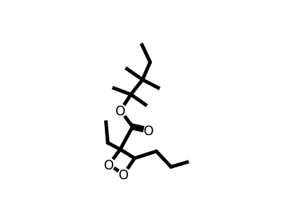 CCCC1OOC1(CC)C(=O)OC(C)(C)C(C)(C)CC